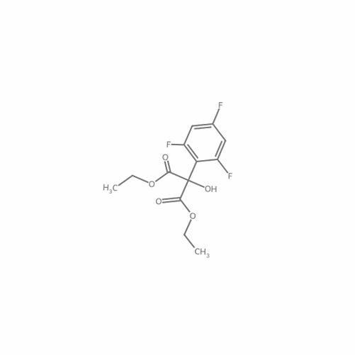 CCOC(=O)C(O)(C(=O)OCC)c1c(F)cc(F)cc1F